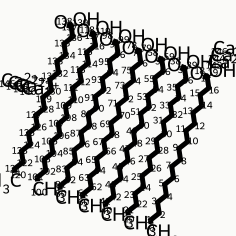 CCCCCCCCCCCCCCCCCC(=O)O.CCCCCCCCCCCCCCCCCC(=O)O.CCCCCCCCCCCCCCCCCC(=O)O.CCCCCCCCCCCCCCCCCC(=O)O.CCCCCCCCCCCCCCCCCC(=O)O.CCCCCCCCCCCCCCCCCC(=O)O.CCCCCCCCCCCCCCCCCC(=O)O.[Ca+2].[Ca+2].[Ca+2].[Ca+2].[Ca+2].[Ca+2].[Ca+2]